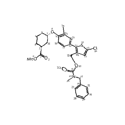 COC(=O)[C@H]1CCC[C@H](Oc2ccc(-c3sc(Cl)cc3COC(=O)N(C)Cc3ccccc3)nc2C)C1